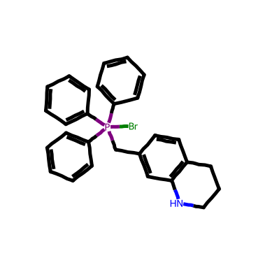 BrP(Cc1ccc2c(c1)NCCC2)(c1ccccc1)(c1ccccc1)c1ccccc1